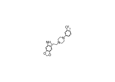 Nc1cc2c(cc1CCN1CCN(c3cccc(C(F)(F)F)c3)CC1)OCO2